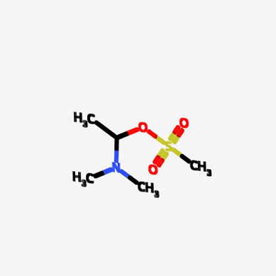 CC(OS(C)(=O)=O)N(C)C